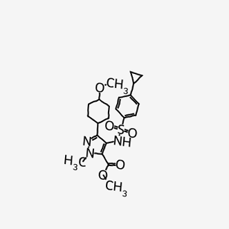 COC(=O)c1c(NS(=O)(=O)c2ccc(C3CC3)cc2)c(C2CCC(OC)CC2)nn1C